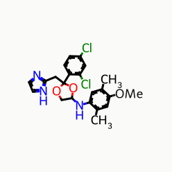 COc1cc(C)c(NC2COC(Cc3ncc[nH]3)(c3ccc(Cl)cc3Cl)O2)cc1C